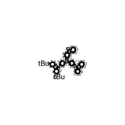 CC(C)(C)c1ccc2c(c1)c1cc(C(C)(C)C)ccc1n2-c1ccc(N(c2ccc(-n3c4ccccc4c4ccccc43)cc2)c2ccc3sc4ccccc4c3c2)cc1